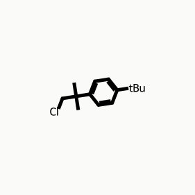 CC(C)(C)c1ccc(C(C)(C)CCl)cc1